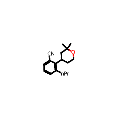 CCCc1cccc(C#N)c1C1CCOC(C)(C)C1